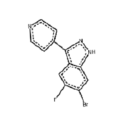 Fc1cc2c(-c3ccncc3)n[nH]c2cc1Br